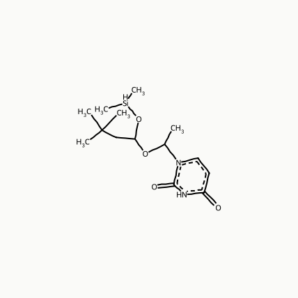 CC(OC(CC(C)(C)C)O[SiH](C)C)n1ccc(=O)[nH]c1=O